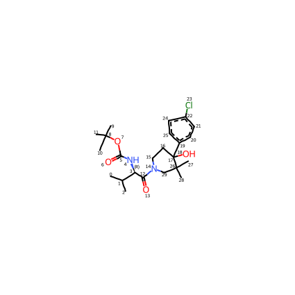 CC(C)[C@@H](NC(=O)OC(C)(C)C)C(=O)N1CCC(O)(c2ccc(Cl)cc2)C(C)(C)C1